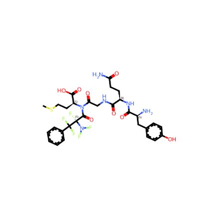 CSCC[C@@H](C(=O)O)N(C(=O)CNC(=O)[C@@H](CCC(N)=O)NC(=O)[C@@H](N)Cc1ccc(O)cc1)C(=O)[C@@](F)(N(F)F)C(F)(F)c1ccccc1